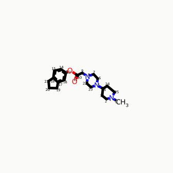 CN1CCC(N2CCN(CC(=O)Oc3ccc4c(c3)CCC4)CC2)CC1